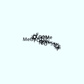 COC(=O)c1c(OCc2c(F)ccc(OC)c2F)nsc1NC(=O)NCCCCN1CCC(F)(F)CC1